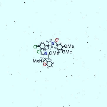 CNC(=O)C1(c2ccccc2)CCN(CCC2(c3ccc(Cl)c(Cl)c3)CCN(C(=O)c3cc(OC)c(OC)c(OC)c3)C2)CC1